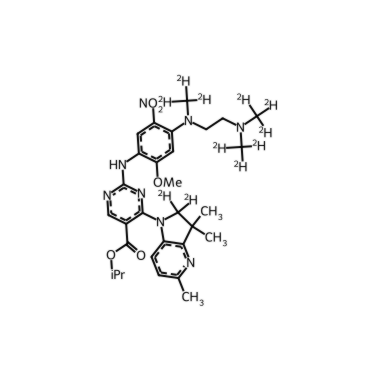 [2H]C([2H])([2H])N(CCN(C([2H])([2H])[2H])C([2H])([2H])[2H])c1cc(OC)c(Nc2ncc(C(=O)OC(C)C)c(N3c4ccc(C)nc4C(C)(C)C3([2H])[2H])n2)cc1[N+](=O)[O-]